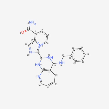 NC(=O)c1cccn2c(C3NC4=C(CC=CC=N4)C(NCc4ccccc4)N3)ncc12